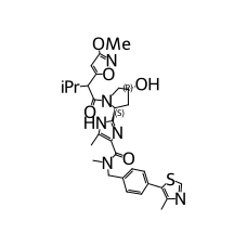 COc1cc(C(C(=O)N2C[C@H](O)C[C@H]2c2nc(C(=O)N(C)Cc3ccc(-c4scnc4C)cc3)c(C)[nH]2)C(C)C)on1